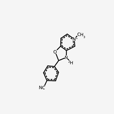 [2H]N1c2c[n+](C)ccc2OC1c1ccc(C#N)cc1